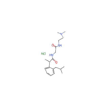 CC(C)Cc1ccccc1C(C)C(=O)NCC(=O)NCCN(C)C.Cl